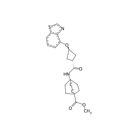 COC(=O)C12CCC(NC(=O)[C@H]3C[C@H](Oc4cccc5scnc45)C3)(CC1)CC2